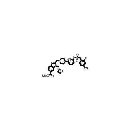 COC(=O)c1ccc2nc(CN3CCC(c4cccc(=NS(=O)(=O)Cc5ccc(C#N)cc5F)[nH]4)CC3)n(C[C@@H]3CCO3)c2c1